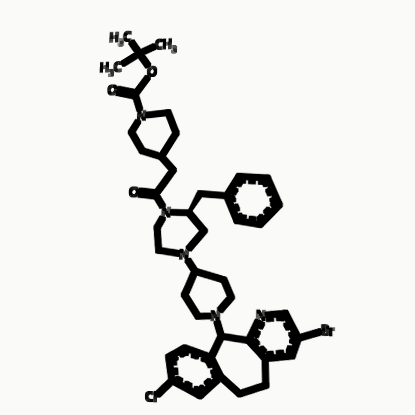 CC(C)(C)OC(=O)N1CCC(CC(=O)N2CCN(C3CCN(C4c5ccc(Cl)cc5CCc5cc(Br)cnc54)CC3)C[C@@H]2Cc2ccccc2)CC1